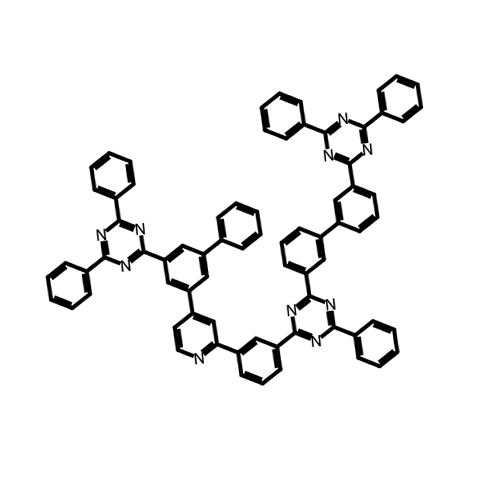 c1ccc(-c2cc(-c3ccnc(-c4cccc(-c5nc(-c6ccccc6)nc(-c6cccc(-c7cccc(-c8nc(-c9ccccc9)nc(-c9ccccc9)n8)c7)c6)n5)c4)c3)cc(-c3nc(-c4ccccc4)nc(-c4ccccc4)n3)c2)cc1